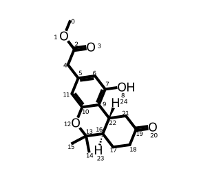 COC(=O)Cc1cc(O)c2c(c1)OC(C)(C)[C@@H]1CCC(=O)C[C@@H]21